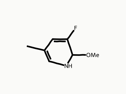 COC1NC=C(C)C=C1F